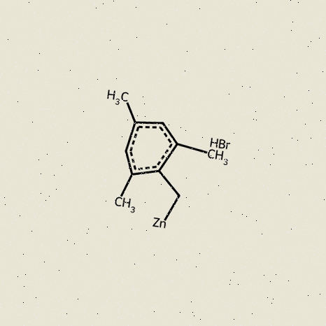 Br.Cc1cc(C)c([CH2][Zn])c(C)c1